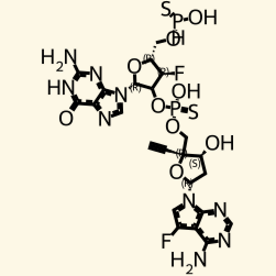 C#C[C@]1(COP(O)(=S)OC2[C@H](n3cnc4c(=O)[nH]c(N)nc43)O[C@H](CO[PH](O)=S)[C@H]2F)O[C@@H](n2cc(F)c3c(N)ncnc32)C[C@@H]1O